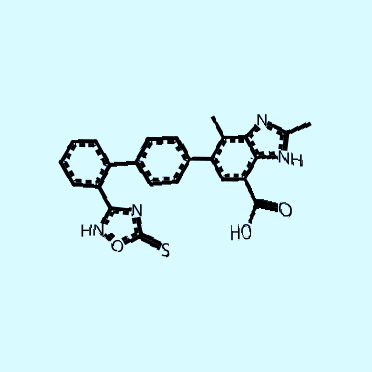 Cc1nc2c(C)c(-c3ccc(-c4ccccc4-c4nc(=S)o[nH]4)cc3)cc(C(=O)O)c2[nH]1